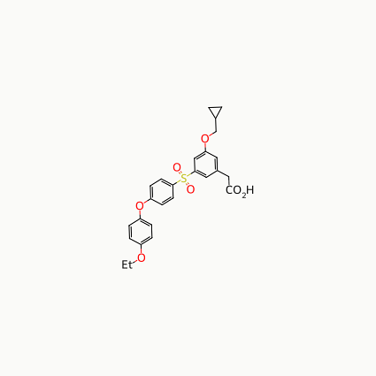 CCOc1ccc(Oc2ccc(S(=O)(=O)c3cc(CC(=O)O)cc(OCC4CC4)c3)cc2)cc1